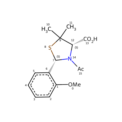 COc1ccccc1[C@@H]1SC(C)(C)[C@H](C(=O)O)N1C(C)=O